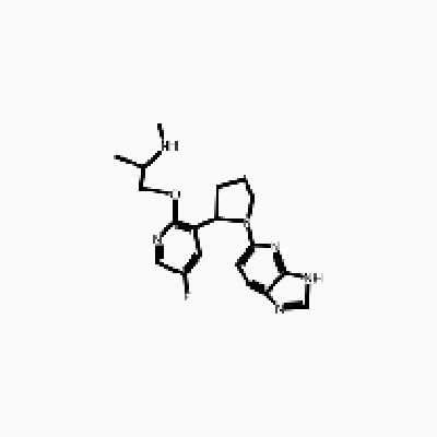 CNC(C)COc1ncc(F)cc1C1CCCN1c1ccc2nc[nH]c2n1